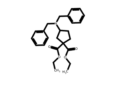 CCOC(=O)C1(C(=O)OCC)CCC(N(Cc2ccccc2)Cc2ccccc2)C1